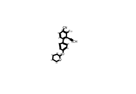 C#Cc1c(-c2ccc(OC3CCCCO3)cc2)ccc(C#N)c1F